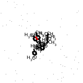 COc1ccc(CN2NN=C(c3c(I)ccc(S(=O)(=O)NCC(C)NC(=O)OC(C)(C)C)c3S(=O)(=O)N(Cc3ccc(OC)cc3)Cc3ccc(OC)cc3)N2)cc1